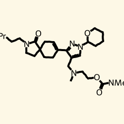 CNC(=O)OCCN(C)Cc1cn(C2CCCCO2)nc1C1=CCC2(CC1)CCN(CCC(C)C)C2=O